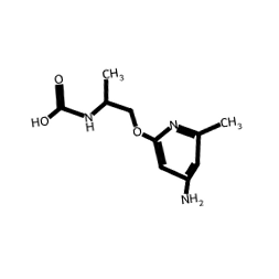 Cc1cc(N)cc(OCC(C)NC(=O)O)n1